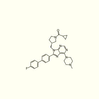 CN1CCN(c2ncnc3c2nc(-c2ccc(-c4ccc(F)cc4)cc2)n3C[C@H]2CCN(C(=O)C3CC3)C2)CC1